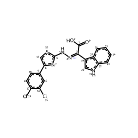 O=C(O)/C(=N\Nc1nc(-c2ccc(Cl)c(Cl)c2)cs1)c1c[nH]c2ccccc12